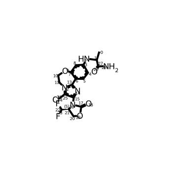 CC(Nc1ccc2c(c1)OCCn1c-2nc(N2C(=O)OC[C@H]2C(F)F)c1Cl)C(N)=O